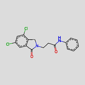 O=C(CCN1Cc2c(Cl)cc(Cl)cc2C1=O)Nc1ccccc1